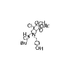 CCC(C)/C=C(C)/C=C/C1=CC2=C(Cl)C(=O)C(C)(OC(C)=O)C(=O)C2=CN1CCc1ccc(O)cc1